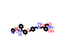 O=C(NC(c1ccccc1)c1cccc(OCc2ccc(CCNC[C@H](O)c3ccc(O)c4[nH]c(=O)ccc34)cc2)c1)O[C@H]1CN2CCC1CC2